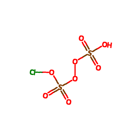 O=S(=O)(O)OOS(=O)(=O)OCl